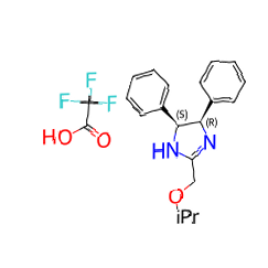 CC(C)OCC1=N[C@H](c2ccccc2)[C@H](c2ccccc2)N1.O=C(O)C(F)(F)F